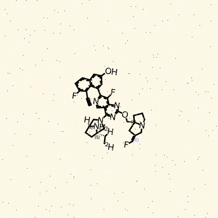 [2H]CC([2H])[C@@]12CC[C@@H](CN(c3nc(OC[C@@]45CCCN4C/C(=C/F)C5)nc4c(F)c(-c5cc(O)cc6ccc(F)c(C#C)c56)ncc34)C1)N2